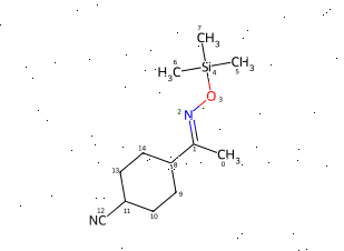 CC(=NO[Si](C)(C)C)C1CCC(C#N)CC1